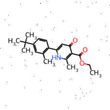 CCOC(=O)c1c(C)[nH]c(-c2ccc(C(C)(C)C)cc2C)cc1=O